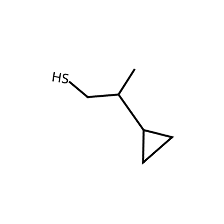 CC(CS)C1CC1